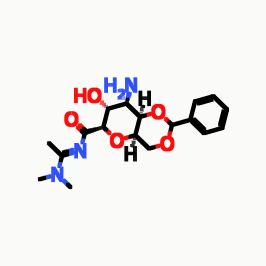 C/C(=N\C(=O)[C@@H]1O[C@@H]2COC(c3ccccc3)O[C@@H]2[C@H](N)[C@H]1O)N(C)C